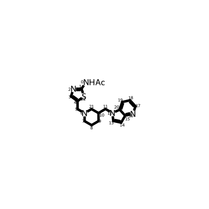 CC(=O)Nc1ncc(CN2CCCC(Cn3ccc4ncccc43)C2)s1